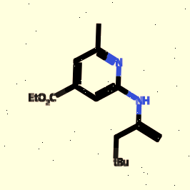 C=C(CC(C)(C)C)Nc1cc(C(=O)OCC)cc(C)n1